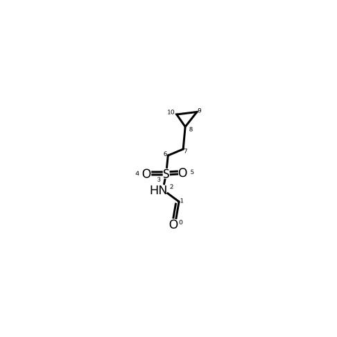 O=CNS(=O)(=O)CCC1CC1